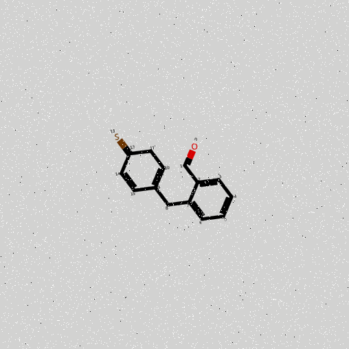 O=Cc1ccccc1CC1=CCC(=S)C=C1